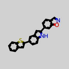 c1ccc2sc(-c3ccc4[nH]c(-c5ccc6cnoc6c5)cc4c3)cc2c1